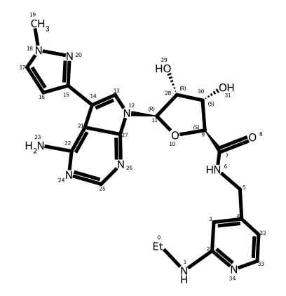 CCNc1cc(CNC(=O)[C@H]2O[C@@H](n3cc(-c4ccn(C)n4)c4c(N)ncnc43)[C@H](O)[C@@H]2O)ccn1